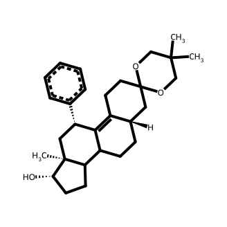 CC1(C)COC2(CCC3=C4C(CC[C@H]3C2)C2CC[C@H](O)[C@@]2(C)C[C@@H]4c2ccccc2)OC1